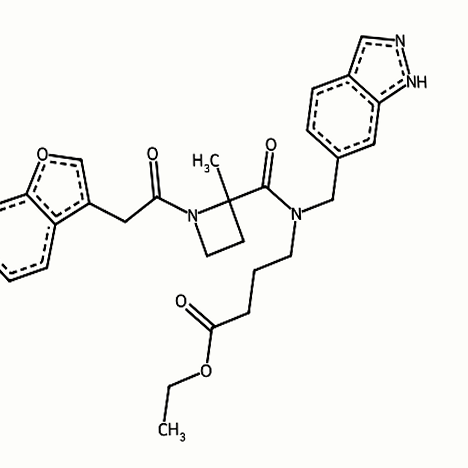 CCOC(=O)CCCN(Cc1ccc2cn[nH]c2c1)C(=O)C1(C)CCN1C(=O)Cc1coc2ccccc12